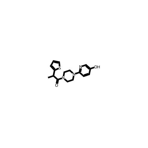 CC(C(=O)N1CCN(c2ccc(O)cn2)CC1)c1cccs1